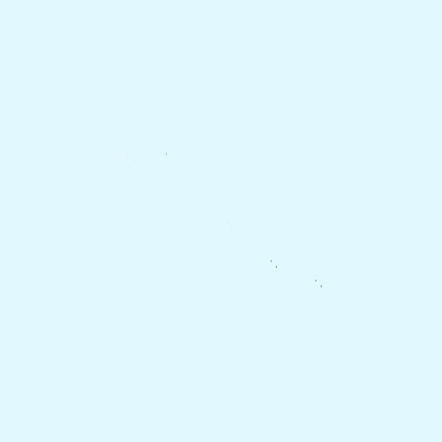 O=C(O)CCCc1ccc(OCC2CCN(c3ccncc3)CC2)cc1